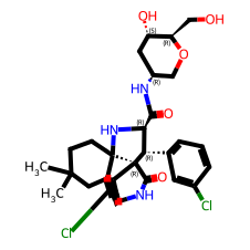 CC1(C)CCC2(CC1)N[C@@H](C(=O)N[C@H]1CO[C@H](CO)[C@@H](O)C1)[C@H](c1cccc(Cl)c1)[C@]21C(=O)Nc2cc(Cl)ccc21